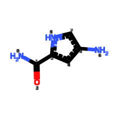 NC(=O)c1cc(N)c[nH]1